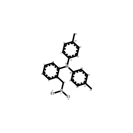 CCN(CC)Cc1cccc[c]1[Bi]([c]1ccc(C)cc1)[c]1ccc(C)cc1